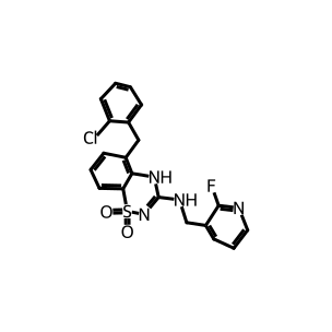 O=S1(=O)N=C(NCc2cccnc2F)Nc2c(Cc3ccccc3Cl)cccc21